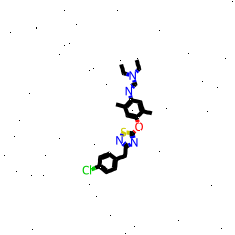 CCN(C=Nc1cc(C)c(Oc2nc(Cc3ccc(Cl)cc3)ns2)cc1C)CC